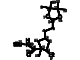 CCC1CC(CCB2OC(C)(C)C(C)(C)O2)CC1(C)C(=O)NC(C)(C)C